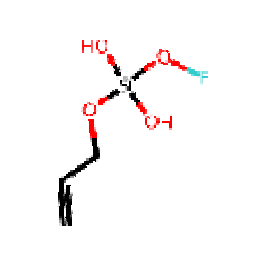 C=CCO[Si](O)(O)OF